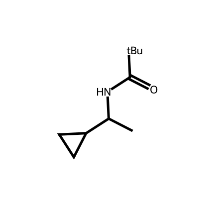 CC(NC(=O)C(C)(C)C)C1CC1